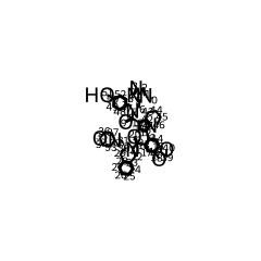 Cn1cnnc1CN(C(=O)c1cc(-c2cc3c(cc2C(=O)N2Cc4ccccc4C[C@H]2CN2CCOCC2)OCO3)n2c1CCCC2)c1ccc(O)cc1